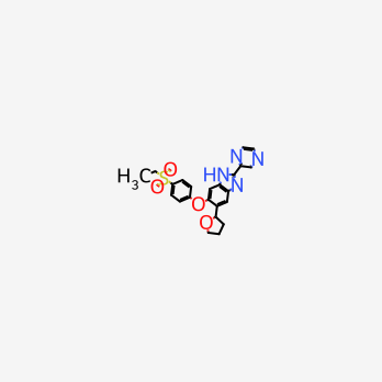 CCS(=O)(=O)c1ccc(Oc2cc3[nH]c(-c4cnccn4)nc3cc2C2CCCO2)cc1